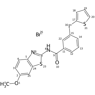 COc1ccc2nc(NC(=O)c3cccc([I+]c4cccs4)c3)sc2c1.[Br-]